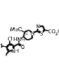 CO[C@H]1CN(c2ncc(C(=O)O)s2)CC[C@H]1NC(=O)c1[nH]c(C)c(Cl)c1Cl